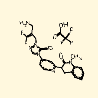 CN1C(=O)C(c2cc(-n3cnn(CC(CN)=C(F)F)c3=O)ccn2)Cc2ccccc21.O=C(O)C(F)(F)F